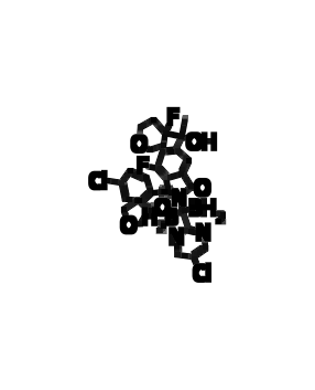 BC(B)(c1ncc(Cl)cn1)N1C(=O)c2cc(C(C)(O)C3(F)CCOCC3)cc(F)c2[C@]1(O[C@H]1CCOC1)c1ccc(Cl)cc1